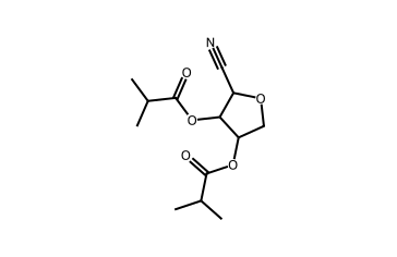 CC(C)C(=O)OC1COC(C#N)C1OC(=O)C(C)C